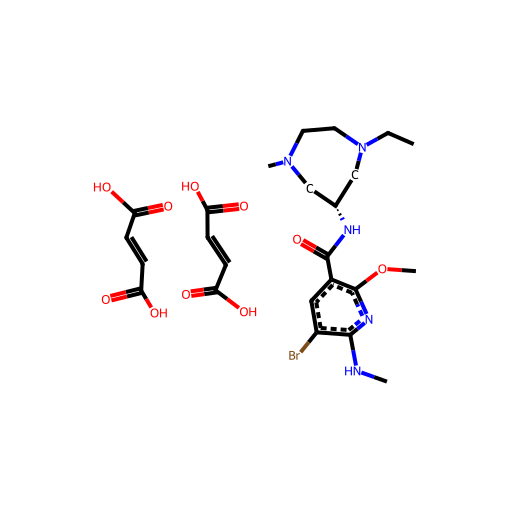 CCN1CCN(C)C[C@@H](NC(=O)c2cc(Br)c(NC)nc2OC)C1.O=C(O)C=CC(=O)O.O=C(O)C=CC(=O)O